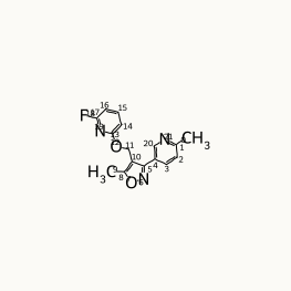 Cc1ccc(-c2noc(C)c2COc2cccc(F)n2)cn1